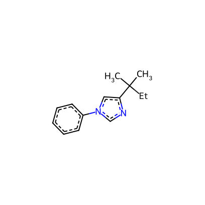 CCC(C)(C)c1cn(-c2ccccc2)cn1